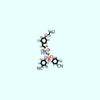 N#Cc1ccc(OP(=O)(CNS(=O)(=O)c2cc3c(F)cc(OCCCl)cc3s2)Oc2ccc(C#N)c(F)c2)cc1F